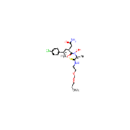 COCCOCOCCNC(=S)[C@H](C(C)C)N(O)C(=O)C(CC(N)=O)C[C@@H](C)c1ccc(Cl)cc1